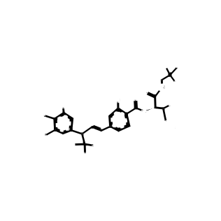 CC(C)[C@@H](NC(=O)c1ccc(/C=C/C(c2cc(Cl)c(Cl)c(Cl)c2)C(F)(F)F)cc1Br)C(=O)NCC(F)(F)F